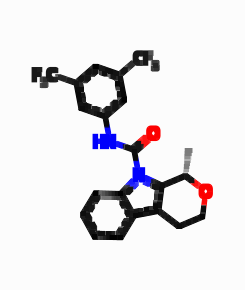 C[C@@H]1OCCc2c1n(C(=O)Nc1cc(C(F)(F)F)cc(C(F)(F)F)c1)c1ccccc21